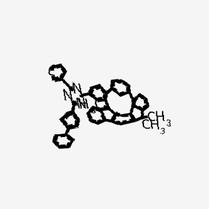 CC1(C)c2cc3c4cc2-c2c(cccc21)-c1cccc(c1)-c1ccc(-c2nc(-c5ccccc5)nc(-c5ccc(-c6ccccc6)cc5)n2)cc1C4(C)c1ccccc1-3